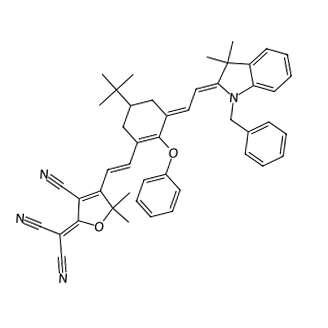 CC1(C)OC(=C(C#N)C#N)C(C#N)=C1C=CC1=C(Oc2ccccc2)C(=CC=C2N(Cc3ccccc3)c3ccccc3C2(C)C)CC(C(C)(C)C)C1